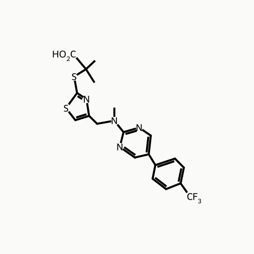 CN(Cc1csc(SC(C)(C)C(=O)O)n1)c1ncc(-c2ccc(C(F)(F)F)cc2)cn1